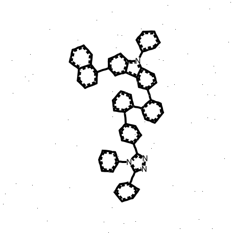 c1ccc(-c2nnc(-c3ccc(-c4ccccc4-c4ccccc4-c4ccc5c(c4)c4cc(-c6cccc7ccccc67)ccc4n5-c4ccccc4)cc3)n2-c2ccccc2)cc1